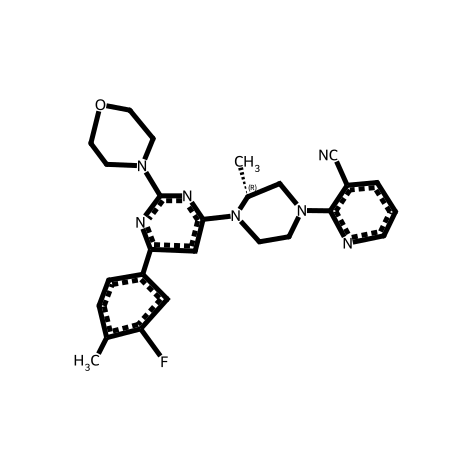 Cc1ccc(-c2cc(N3CCN(c4ncccc4C#N)C[C@H]3C)nc(N3CCOCC3)n2)cc1F